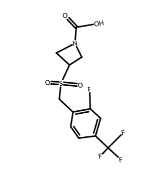 O=C(O)N1CC(S(=O)(=O)Cc2ccc(C(F)(F)F)cc2F)C1